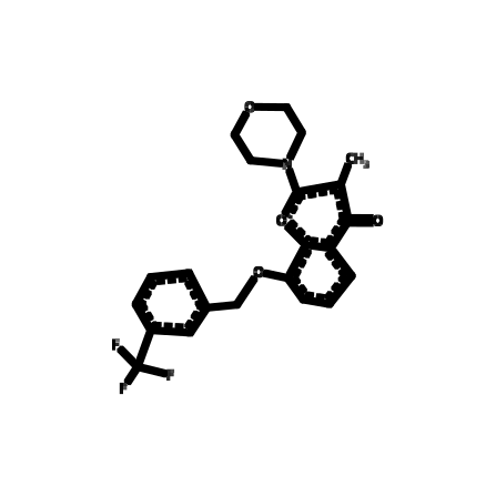 Cc1c(N2CCOCC2)oc2c(OCc3cccc(C(F)(F)F)c3)cccc2c1=O